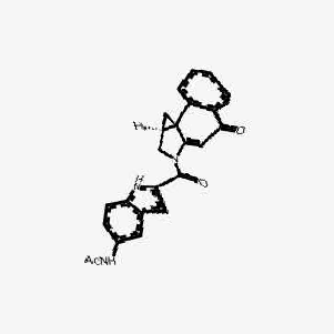 CC(=O)Nc1ccc2[nH]c(C(=O)N3C[C@H]4C[C@@]45C3=CC(=O)c3ccccc35)cc2c1